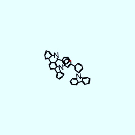 c1ccc(-c2nc3ccccc3c3ccc4c5ccccc5n(-c5cccc(-c6cccc(-n7c8ccccc8c8ccccc87)c6)c5)c4c23)cc1